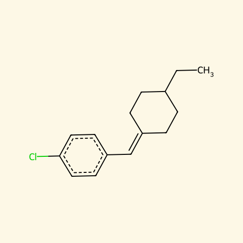 CCC1CCC(=Cc2ccc(Cl)cc2)CC1